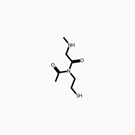 CNCC(=O)N(CCS)C(C)=O